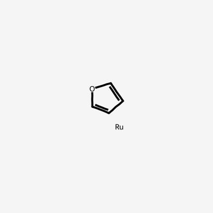 [Ru].c1ccoc1